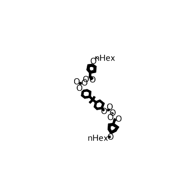 CCCCCCOc1ccc(C(=O)OOC(=O)OC2CCC(C(C)(C)C3CCC(OC(=O)OOC(=O)c4ccc(OCCCCCC)cc4)CC3)CC2)cc1